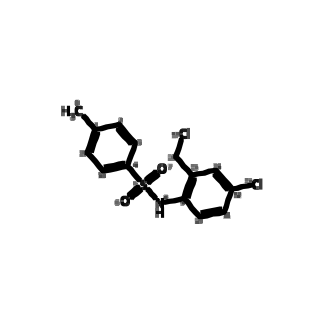 Cc1ccc(S(=O)(=O)Nc2ccc(Cl)cc2CCl)cc1